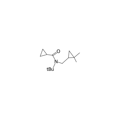 CC1(C)CC1CN(C(=O)C1CC1)C(C)(C)C